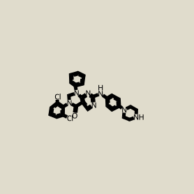 O=C1c2cnc(Nc3ccc(N4CCNCC4)cc3)nc2N(c2ccccc2)CN1c1c(Cl)cccc1Cl